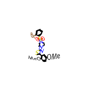 COc1ccc(OC)c(-c2csc(N3CCN(S(=O)(=O)c4ccccc4Br)CC3)n2)c1